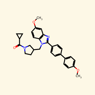 COc1ccc(-c2ccc(-c3nc4cc(OC)ccc4n3CC3CCN(C(=O)C4CC4)C3)cc2)cc1